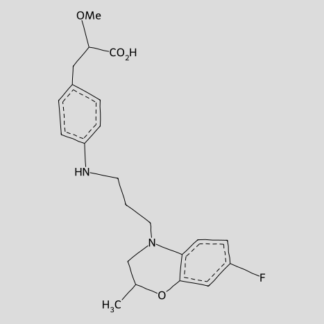 COC(Cc1ccc(NCCCN2CC(C)Oc3cc(F)ccc32)cc1)C(=O)O